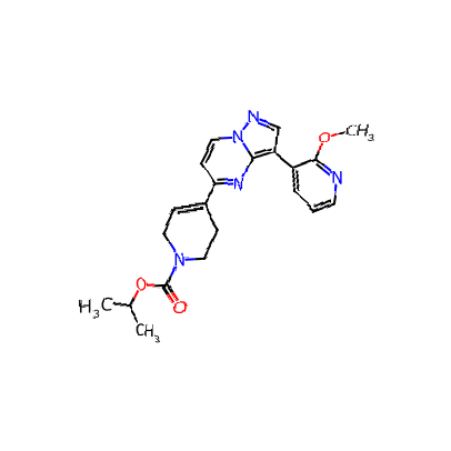 COc1ncccc1-c1cnn2ccc(C3=CCN(C(=O)OC(C)C)CC3)nc12